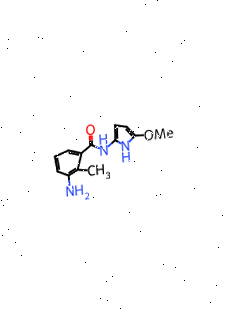 COc1ccc(NC(=O)c2cccc(N)c2C)[nH]1